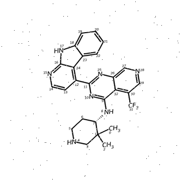 CC1(C)CNCC[C@@H]1Nc1nc(-c2ccnc3[nH]c4ccccc4c23)nc2cncc(C(F)(F)F)c12